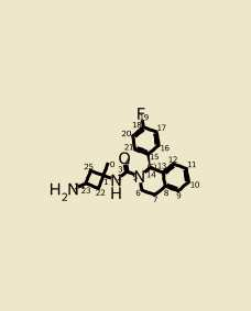 CC1(NC(=O)N2CCc3ccccc3[C@@H]2c2ccc(F)cc2)CC(N)C1